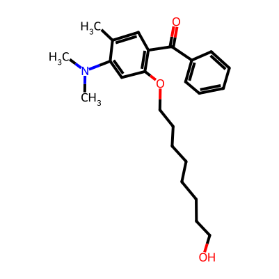 Cc1cc(C(=O)c2ccccc2)c(OCCCCCCCCO)cc1N(C)C